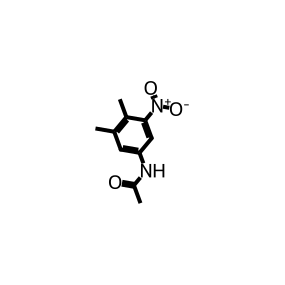 CC(=O)Nc1cc(C)c(C)c([N+](=O)[O-])c1